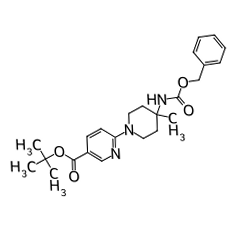 CC1(NC(=O)OCc2ccccc2)CCN(c2ccc(C(=O)OC(C)(C)C)cn2)CC1